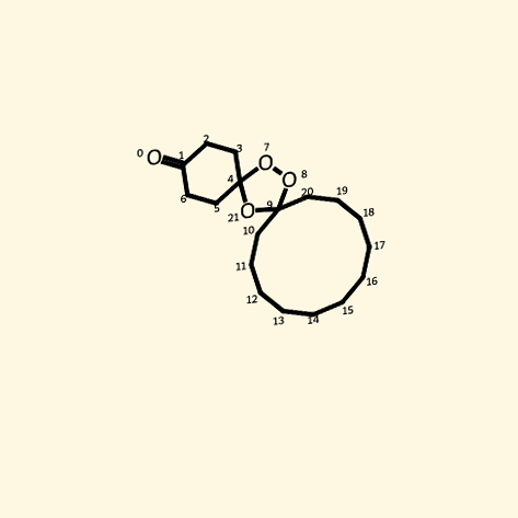 O=C1CCC2(CC1)OOC1(CCCCCCCCCCC1)O2